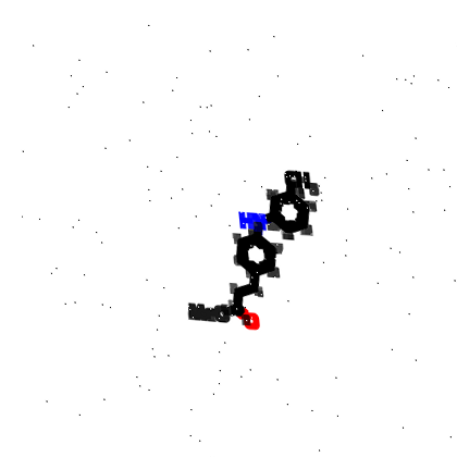 COC(=O)CCc1ccc(Nc2cccc(C)c2)cc1